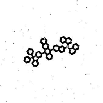 c1ccc(C2(c3ccccc3)c3ccccc3-c3cc(-c4c5ccccc5c(-c5ccc6cc(N(c7cccc8ccccc78)c7cccc8ccccc78)ccc6c5)c5cc6ccccc6cc45)ccc32)cc1